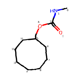 CNC(=O)OC1CC[CH]CCCC1